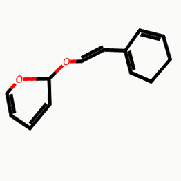 C1=COC(OC=CC2=CCCC=C2)C=C1